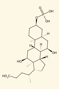 C[C@H](CCC(=O)O)[C@H]1CC[C@H]2[C@@H]3[C@H](O)C[C@@H]4C[C@H](OP(=O)(O)O)CC[C@]4(C)[C@H]3C[C@H](O)[C@]12C